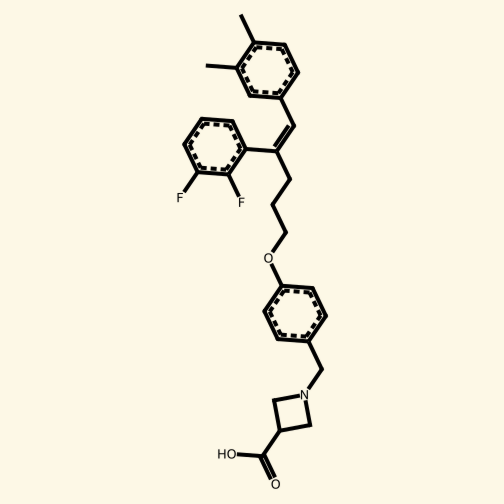 Cc1ccc(C=C(CCCOc2ccc(CN3CC(C(=O)O)C3)cc2)c2cccc(F)c2F)cc1C